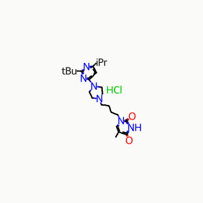 Cc1cn(CCCCN2CCN(c3cc(C(C)C)nc(C(C)(C)C)n3)CC2)c(=O)[nH]c1=O.Cl